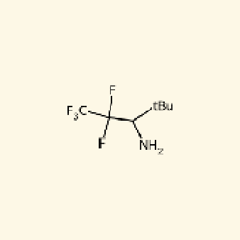 CC(C)(C)C(N)C(F)(F)C(F)(F)F